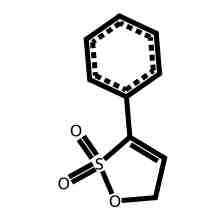 O=S1(=O)OCC=C1c1ccccc1